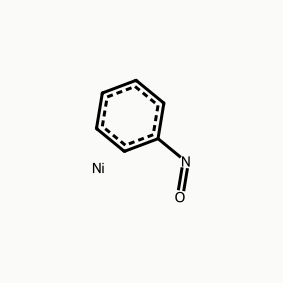 O=Nc1ccccc1.[Ni]